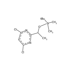 CC(O[Si](C)(C)C(C)(C)C)c1nc(Cl)cc(Cl)n1